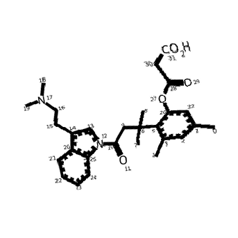 Cc1cc(C)c(C(C)(C)CC(=O)n2cc(CCN(C)C)c3ccccc32)c(OC(=O)CC(=O)O)c1